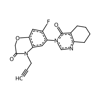 C#CCN1C(=O)COc2cc(F)c(-n3cnc4c(c3=O)CCCC4)cc21